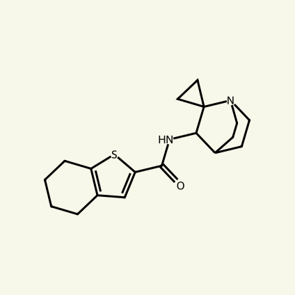 O=C(NC1C2CCN(CC2)C12CC2)c1cc2c(s1)CCCC2